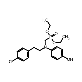 CCOP(=O)(CN(CCc1ccc(Cl)cc1)c1ccc(O)cc1)OCC